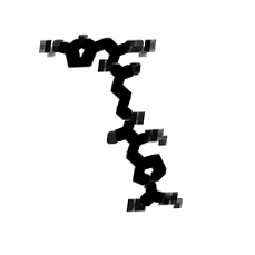 Cc1ccc(CC(NC(=O)CCCNC(=O)C(N)CC2=CCN(C(=N)N)C2)C(=O)O)s1